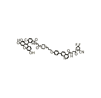 N#C[C@@H]1CC(F)(F)CN1C(=O)CNC(=O)c1ccnc2cc(-c3ccc(OCCCN4CCN(C(=O)CNC(=O)c5ccc(C(=O)O)c(-c6c7ccc(=O)cc-7oc7cc(O)ccc67)c5)CC4)cc3)ccc12